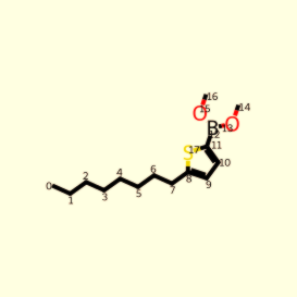 CCCCCCCCc1ccc(B(OC)OC)s1